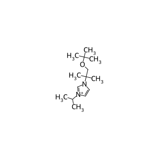 CC(C)[n+]1ccn(C(C)(C)COC(C)(C)C)c1